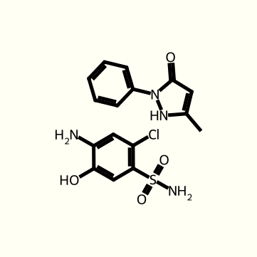 Cc1cc(=O)n(-c2ccccc2)[nH]1.Nc1cc(Cl)c(S(N)(=O)=O)cc1O